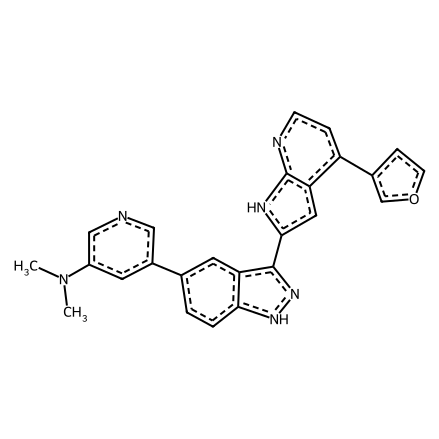 CN(C)c1cncc(-c2ccc3[nH]nc(-c4cc5c(-c6ccoc6)ccnc5[nH]4)c3c2)c1